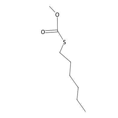 CCCCCCSC(=O)OC